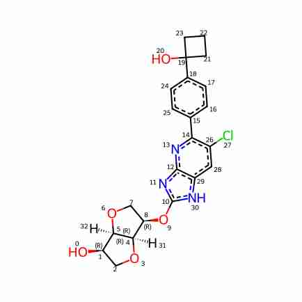 O[C@@H]1CO[C@H]2[C@@H]1OC[C@H]2Oc1nc2nc(-c3ccc(C4(O)CCC4)cc3)c(Cl)cc2[nH]1